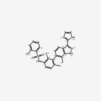 O=S(=O)(Nc1ccc(F)c(-c2ccc3c(-c4ncc[nH]4)n[nH]c3c2F)c1F)c1ccccc1Cl